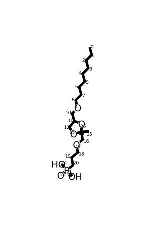 CCCCCCCCCOCC1COC(C)(COCCCP(=O)(O)O)O1